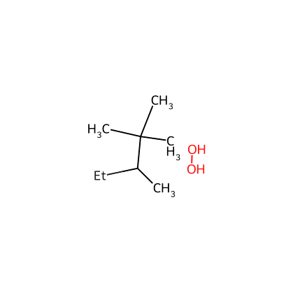 CCC(C)C(C)(C)C.OO